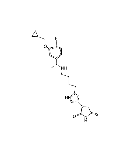 C[C@@H](NCCCCc1cc(N2CC(=S)NC2=O)c[nH]1)c1ccc(F)c(OCC2CC2)c1